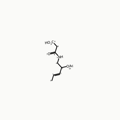 C/C=C/C(CNC(=O)CC(=O)O)OC(C)=O